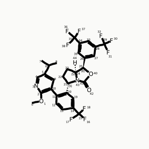 COc1ncc(C(C)C)cc1-c1ccc(C(F)(F)F)cc1[C@@H]1CC[C@H]2[C@@H](c3cc(C(F)(F)F)cc(C(F)(F)F)c3)OC(=O)N12